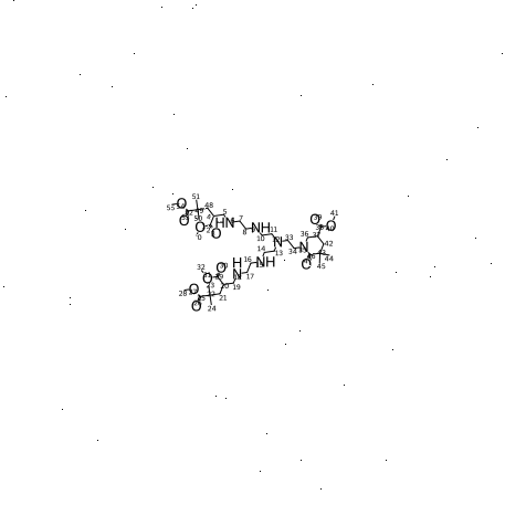 COC(=O)C(CNCCNCCN(CCNCCNCC(CC(C)(C)C(=O)OC)C(=O)OC)CCN1CC(C(=O)OC)CC(C)(C)C1=O)CC(C)(C)C(=O)OC